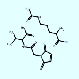 CC(C)C(NC(=O)CN1C(=O)C=CC1=O)C(=O)O.NC(=O)NCCCC(N)C(=O)O